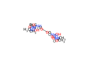 C=C(N[C@@H]1CCCc2c(OCCCCCOc3cccc4c3CCC[C@H]4NC(=O)[C@@H]3C[C@H](O)CN3C(=O)[C@@H](NC(=O)[C@H](C)NC)C3CCCCC3)cccc21)[C@@H]1C[C@H](O)CN1C(=O)C(NC(=O)[C@H](C)NC)C1CCCCC1